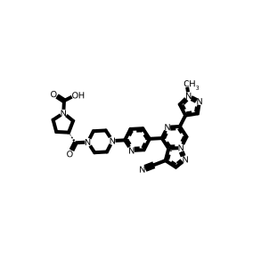 Cn1cc(-c2cn3ncc(C#N)c3c(-c3ccc(N4CCN(C(=O)[C@@H]5CCN(C(=O)O)C5)CC4)nc3)n2)cn1